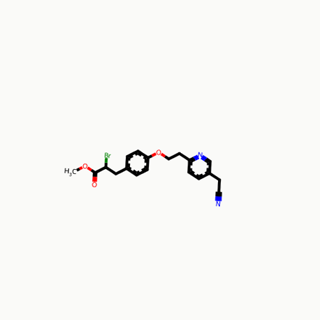 COC(=O)C(Br)Cc1ccc(OCCc2ccc(CC#N)cn2)cc1